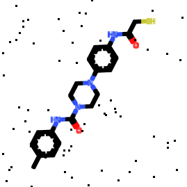 Cc1ccc(NC(=O)N2CCN(c3ccc(NC(=O)CS)cc3)CC2)cc1